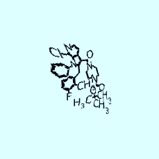 Cc1c(F)cccc1Cc1c(C(=O)N2CCN(C(=O)OC(C)(C)C)CC2)c2ccnc(Cl)c2n1-c1ccccc1